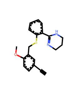 C#Cc1ccc(OC)c(CSc2ccccc2C2=NCCCN2)c1